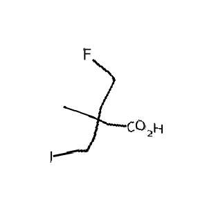 CC(CF)(CI)C(=O)O